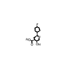 O=C(O)c1cc(-c2ccc(F)cc2)ncc1O